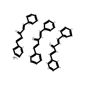 N.O=C(C=Cc1ccccc1)C=Cc1ccccc1.O=C(C=Cc1ccccc1)C=Cc1ccccc1.O=C(C=Cc1ccccc1)C=Cc1ccccc1